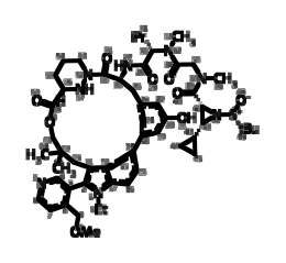 CCn1c(-c2cnccc2COC)c2c3cc(ccc31)-c1cc(O)cc(c1)C[C@H](NC(=O)[C@H](C(C)C)N(C)C(=O)CN(C)C(=O)[C@H]1[C@@H](C3CC3)N1[S@+]([O-])C(C)(C)C)C(=O)N1CCC[C@H](N1)C(=O)OCC(C)(C)C2